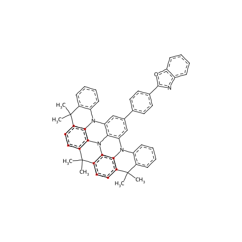 CC1(C)c2ccccc2N(c2cc(-c3ccc(-c4nc5ccccc5o4)cc3)cc(N3c4ccccc4C(C)(C)c4ccccc43)c2N2c3ccccc3C(C)(C)c3ccccc32)c2ccccc21